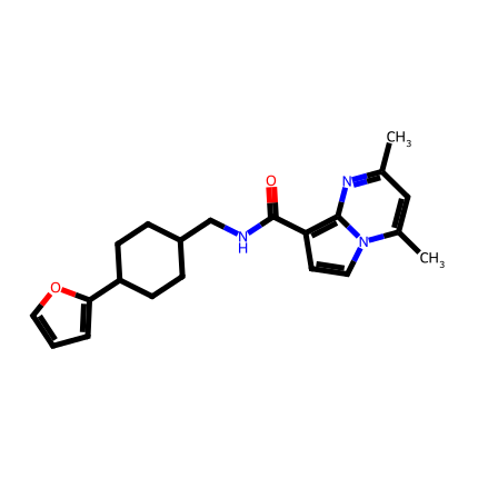 Cc1cc(C)n2ccc(C(=O)NCC3CCC(c4ccco4)CC3)c2n1